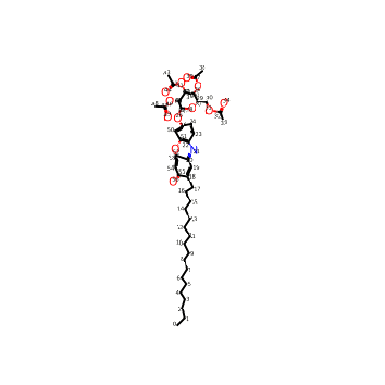 CCCCCCCCCCCCCCCCCCc1cc2nc3ccc(O[C@@H]4O[C@H](COC(C)=O)[C@H](OC(C)=O)[C@H](OC(C)=O)[C@H]4OC(C)=O)cc3oc-2cc1=O